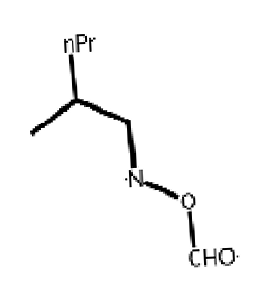 CCCC(C)C[N]O[C]=O